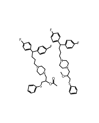 CC(=O)OC(CSc1ccccc1)CN1CCN(CCCC(c2ccc(F)cc2)c2ccc(F)cc2)CC1.COC(CSc1ccccc1)CN1CCN(CCCC(c2ccc(F)cc2)c2ccc(F)cc2)CC1